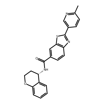 Cc1ccc(-c2nc3ccc(C(=O)N[C@H]4CCOc5ccccc54)cc3s2)cn1